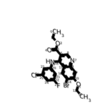 CCOC(=O)c1cnc2cc(OCC)c(Br)cc2c1Nc1cc(F)cc(Cl)c1